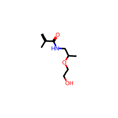 C=C(C)C(=O)NCC(C)OCCO